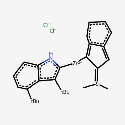 C[Si](C)=C1C=c2ccccc2=[C]1[Zr+2][c]1[nH]c2cccc(C(C)(C)C)c2c1C(C)(C)C.[Cl-].[Cl-]